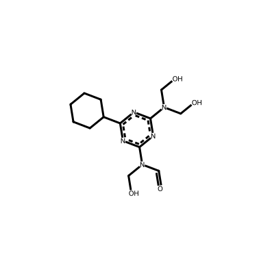 O=CN(CO)c1nc(C2CCCCC2)nc(N(CO)CO)n1